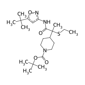 CCSC(C)(C(=O)Nc1cc(C(C)(C)C)on1)C1CCN(C(=O)OC(C)(C)C)CC1